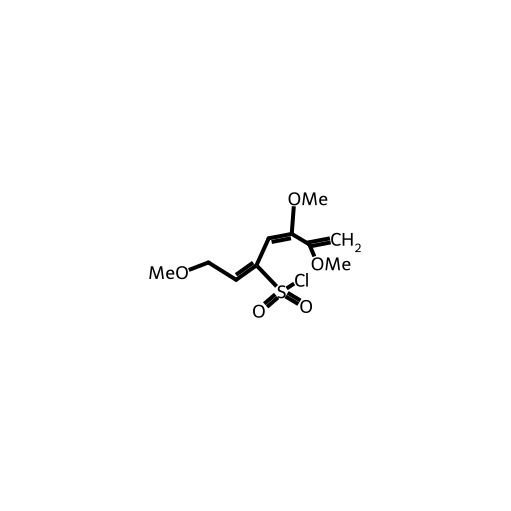 C=C(OC)/C(=C\C(=C/COC)S(=O)(=O)Cl)OC